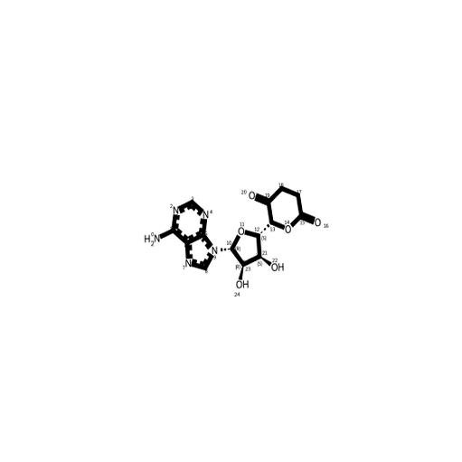 Nc1ncnc2c1ncn2[C@@H]1O[C@H](C2OC(=O)CCC2=O)[C@@H](O)[C@H]1O